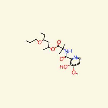 CCCOC(CC)CC(C)OC(=O)C(C)(C)NC(=O)c1nccc(OC)c1O